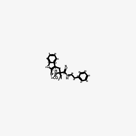 CC(Cc1c(Br)oc2ccccc12)(NC(=O)O)C(=O)NCCc1ccccc1